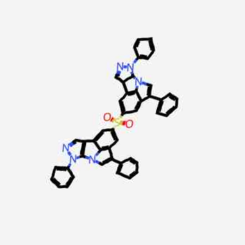 O=S(=O)(c1cc2c3c(c1)c(-c1ccccc1)cn3C1C2C=NN1c1ccccc1)c1cc2c(-c3ccccc3)cn3c2c(c1)c1cnn(-c2ccccc2)c13